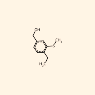 CCc1ccc(CO)cc1SC